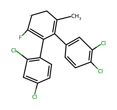 CC1=C(c2ccc(Cl)c(Cl)c2)C(c2ccc(Cl)cc2Cl)=C(F)[CH]C1